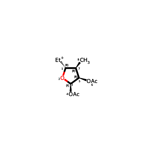 CC[C@H]1O[C@H](OC(C)=O)[C@H](OC(C)=O)[C@@H]1C